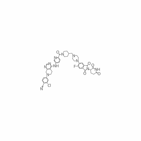 N#Cc1ccc(N2CCc3c(ncnc3Nc3ccc(C(=O)N4CCC(CN5CCN(c6cc7c(cc6F)C(=O)N(C6CCC(=O)NC6=O)C7=O)CC5)CC4)nc3)C2)cc1Cl